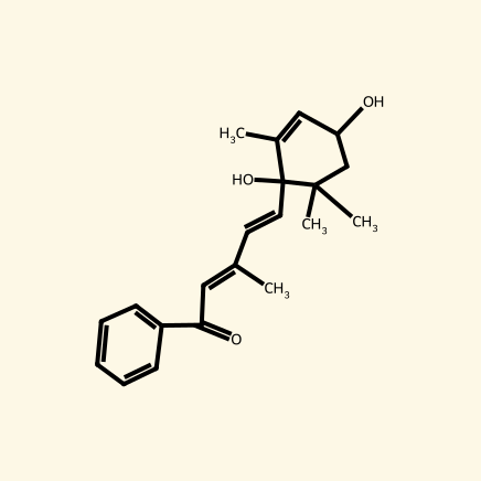 CC1=CC(O)CC(C)(C)C1(O)/C=C/C(C)=C/C(=O)c1ccccc1